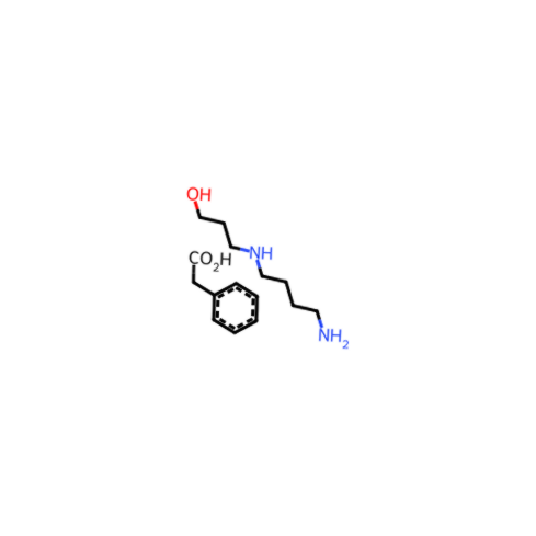 NCCCCNCCCO.O=C(O)Cc1ccccc1